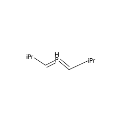 CC(C)C=[PH]=CC(C)C